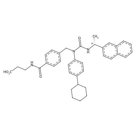 C[C@@H](NC(=O)N(Cc1ccc(C(=O)NCCC(=O)O)cc1)c1ccc(C2CCCCC2)cc1)c1ccc2ccccc2c1